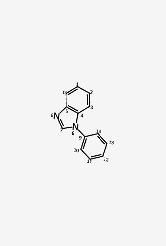 [c]1cccc2c1ncn2-c1ccccc1